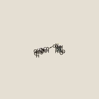 COC(=O)N[C@H](C(=O)N1CCC[C@H]1c1nc2c([nH]1)-c1ccc(C#Cc3ccc4nc([C@@H]5CCCN5C(=O)[C@@H](NC(=O)OC)C(C)C)[nH]c4c3)cc1CC2)C(C)C